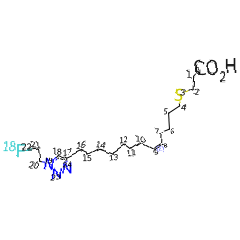 O=C(O)CCSCCCC/C=C\CCCCCCCc1cn(CC[18F])nn1